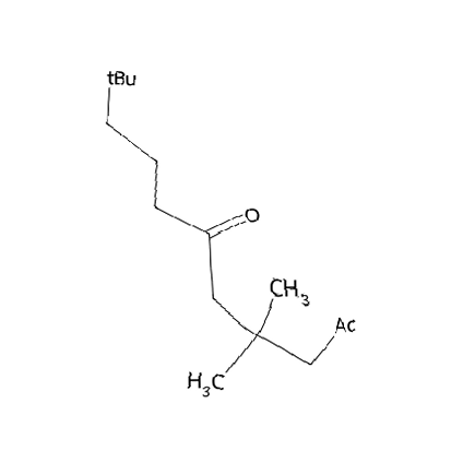 CC(=O)CC(C)(C)CC(=O)CCCC(C)(C)C